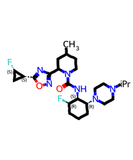 CC1CCN(C(=O)N[C@@H]2[C@H](F)CCC[C@H]2N2CCN(C(C)C)CC2)C(c2noc([C@@H]3C[C@@H]3F)n2)C1